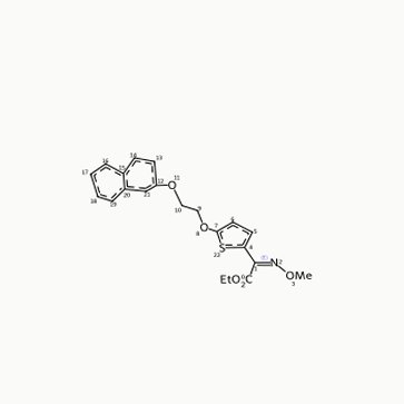 CCOC(=O)/C(=N\OC)c1ccc(OCCOc2ccc3ccccc3c2)s1